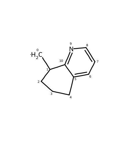 [CH2]C1CCCc2cccnc21